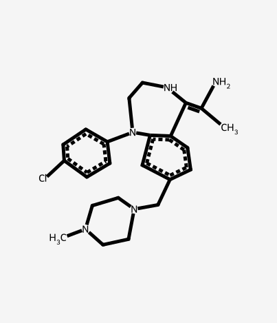 C/C(N)=C1/NCCN(c2ccc(Cl)cc2)c2cc(CN3CCN(C)CC3)ccc21